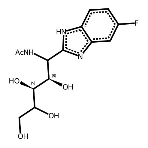 CC(=O)NC(c1nc2cc(F)ccc2[nH]1)[C@@H](O)[C@H](O)C(O)CO